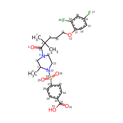 CC1CN(C(=O)C(C)(C)CCCOc2ccc(F)cc2F)CCN1S(=O)(=O)c1ccc(C(=O)O)cc1